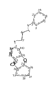 c1ccc(CCCCCc2cc3c(nn2)Oc2ccccc2O3)cc1